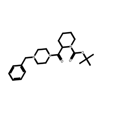 CC(C)(C)OC(=O)N1CCCCC1C(=O)N1CCN(Cc2ccccc2)CC1